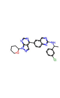 CC(Nc1ncc2cc(-c3ncnc4c3cnn4C3CCCCO3)ccc2n1)c1cccc(Cl)c1